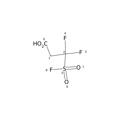 O=C(O)CC(F)(F)S(=O)(=O)F